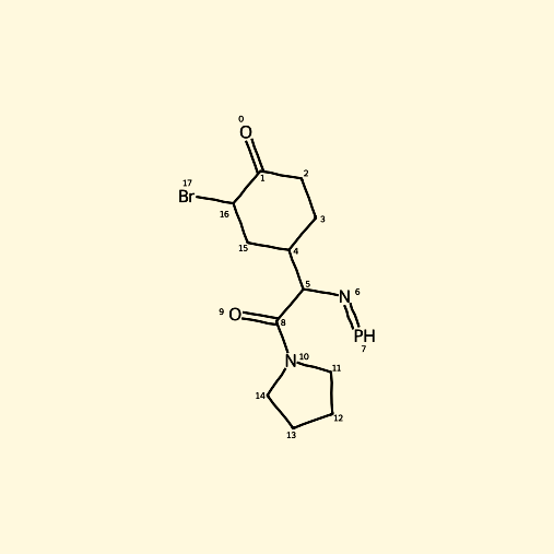 O=C1CCC(C(N=P)C(=O)N2CCCC2)CC1Br